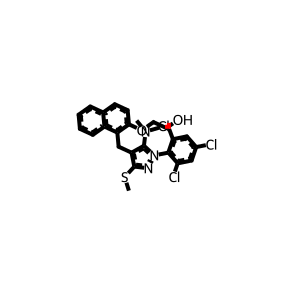 CSc1nn(-c2c(Cl)cc(Cl)cc2Cl)c(N(C)C)c1Cc1c(OCCO)ccc2ccccc12